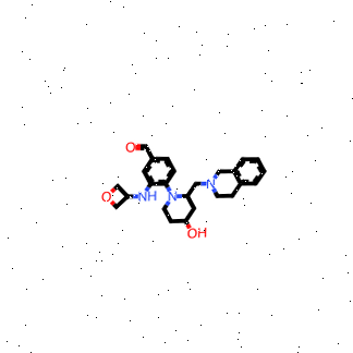 O=Cc1ccc(N2CCC(O)CC2CN2CCc3ccccc3C2)c(NC2COC2)c1